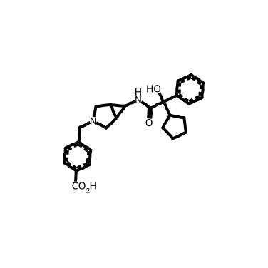 O=C(O)c1ccc(CN2CC3C(C2)C3NC(=O)C(O)(c2ccccc2)C2CCCC2)cc1